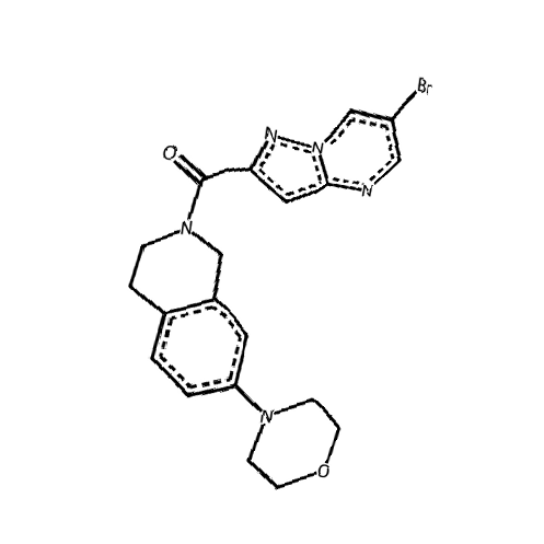 O=C(c1cc2ncc(Br)cn2n1)N1CCc2ccc(N3CCOCC3)cc2C1